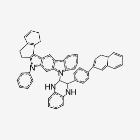 C1=CC2=CC(c3ccc(C4Nc5ccccc5NC4n4c5ccccc5c5cc6c7c(n(-c8ccccc8)c6cc54)CCC4=C7CCC=C4)cc3)=CCC2C=C1